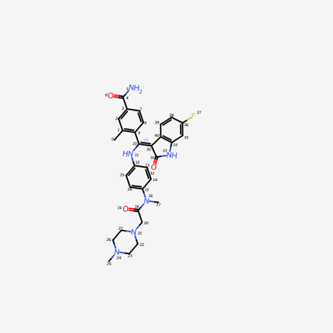 Cc1cc(C(N)=O)ccc1/C(Nc1ccc(N(C)C(=O)CN2CCN(C)CC2)cc1)=C1/C(=O)Nc2cc(F)ccc21